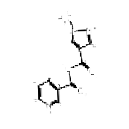 Cn1cc(C(=O)OC(=O)c2cccnc2)cn1